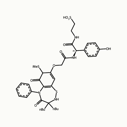 CCCCC1(CCCC)NSC2=C(C(=O)C(SC)C(OCC(=O)N[C@@H](C(=O)NCCS(=O)(=O)O)c3ccc(O)cc3)=C2)N(c2ccccc2)C1=O